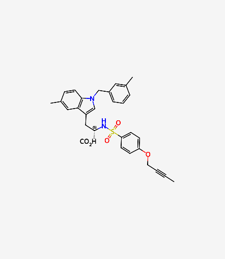 CC#CCOc1ccc(S(=O)(=O)N[C@@H](Cc2cn(Cc3cccc(C)c3)c3ccc(C)cc23)C(=O)O)cc1